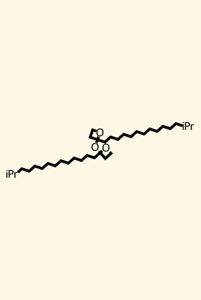 CC(C)CCCCCCCCCCCCC1(OC2(CCCCCCCCCCCCC(C)C)CCO2)CCO1